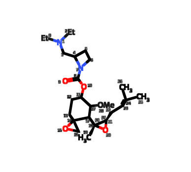 CCN(CC)CC1CCN1C(=O)OC1CCC2(CO2)C([C@@]2(C)O[C@@H]2CC=C(C)C)C1OC